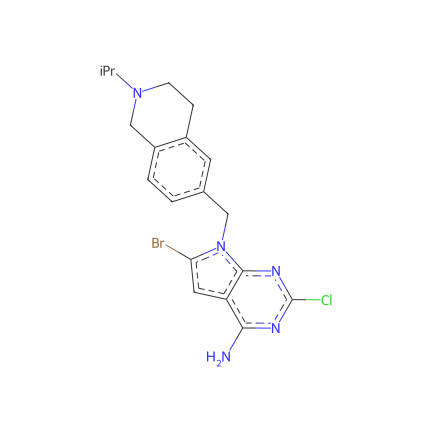 CC(C)N1CCc2cc(Cn3c(Br)cc4c(N)nc(Cl)nc43)ccc2C1